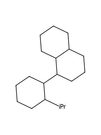 CC(C)C1CCCCC1C1CCCC2CCCCC21